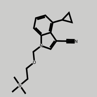 C[Si](C)(C)CCOCn1cc(C#N)c2c(C3CC3)cccc21